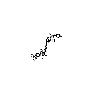 CC1=C(CCCCCCN2CCN(C(=S)NCc3ccc(C)cc3)CC2)C(=O)N(c2ccc3c(c2)COC3=O)C1=O